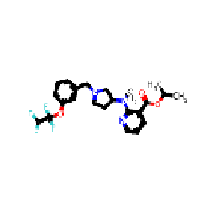 CC(C)OC(=O)c1cccnc1N(C)C1CCN(Cc2cccc(OC(F)(F)C(F)F)c2)C1